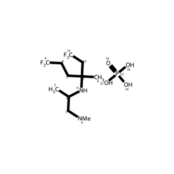 CNCC(C)NC(C)(CCC(F)(F)F)CC(F)(F)F.O=P(O)(O)O